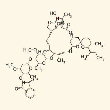 CCC(C)[C@H]1O[C@]2(C=C[C@@H]1C)C[C@@H]1C[C@@H](C/C=C(\C)[C@@H](O[C@H]3C[C@H](OC)[C@@H](O[C@H]4C[C@H](OC)[C@@H](ON5C(=O)c6ccccc6C5=O)[C@H](C)O4)[C@H](C)O3)[C@@H](C)/C=C/C=C3\CO[C@@H]4[C@H](O)C(C)=C[C@@H](C(=O)O1)[C@]34O)O2